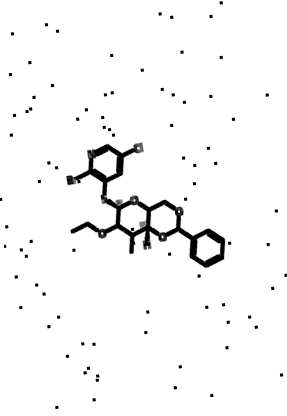 CCOC1C(C)[C@H]2OC(c3ccccc3)OCC2O[C@@H]1Sc1cc(Cl)cnc1Br